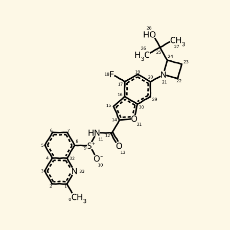 Cc1ccc2cccc([S+]([O-])NC(=O)c3cc4c(F)cc(N5CCC5C(C)(C)O)cc4o3)c2n1